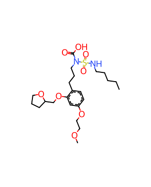 CCCCCNS(=O)(=O)N(CCCc1ccc(OCCOC)cc1OCC1CCCO1)C(=O)O